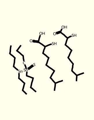 CC(C)CCCCCC(S)C(=O)O.CC(C)CCCCCC(S)C(=O)O.CCC[CH2][Sn](=[S])[CH2]CCC.CCC[CH2][Sn][CH2]CCC